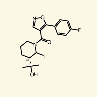 CC(C)(O)[C@@H]1CCCN(C(=O)c2cnoc2-c2ccc(F)cc2)C1I